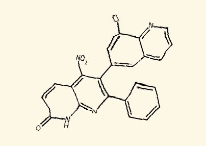 O=c1ccc2c([N+](=O)[O-])c(-c3cc(Cl)c4ncccc4c3)c(-c3ccccc3)nc2[nH]1